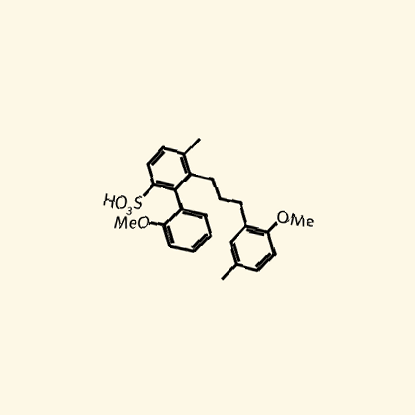 COc1ccc(C)cc1CCCc1c(C)ccc(S(=O)(=O)O)c1-c1ccccc1OC